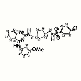 COc1cccc(Nc2nc(NC[C@H]3CC[C@H](CNS(=O)(=O)c4ccc(Cl)cc4)CC3)nc3ccccc23)c1